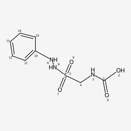 O=C(O)NCS(=O)(=O)NNc1ccccc1